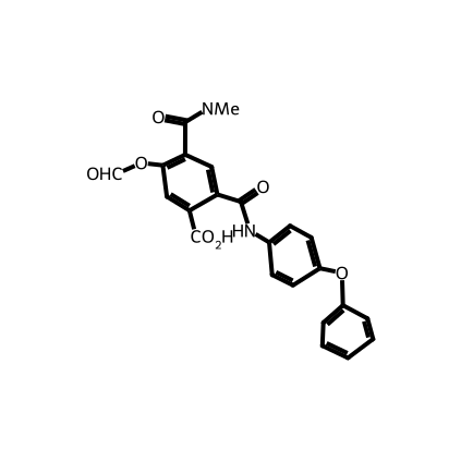 CNC(=O)c1cc(C(=O)Nc2ccc(Oc3ccccc3)cc2)c(C(=O)O)cc1OC=O